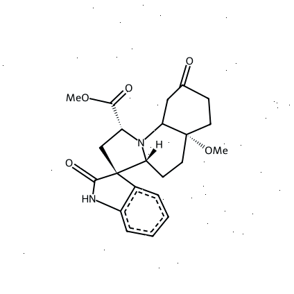 COC(=O)[C@H]1C[C@@]2(C(=O)Nc3ccccc32)[C@H]2CC[C@]3(OC)CCC(=O)CC3N12